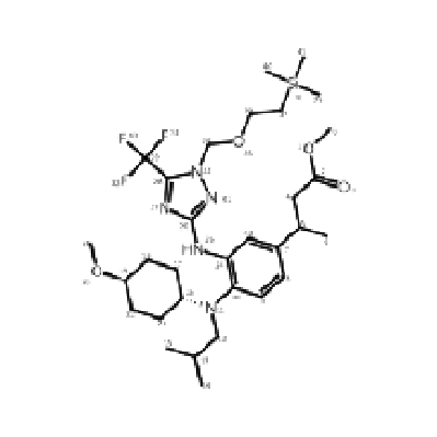 COC(=O)CC(C)c1ccc(N(CC(C)C)[C@H]2CC[C@H](OC)CC2)c(Nc2nc(C(F)(F)F)n(COCC[Si](C)(C)C)n2)c1